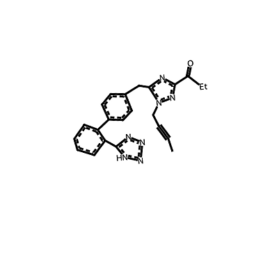 CC#CCn1nc(C(=O)CC)nc1Cc1ccc(-c2ccccc2-c2nnn[nH]2)cc1